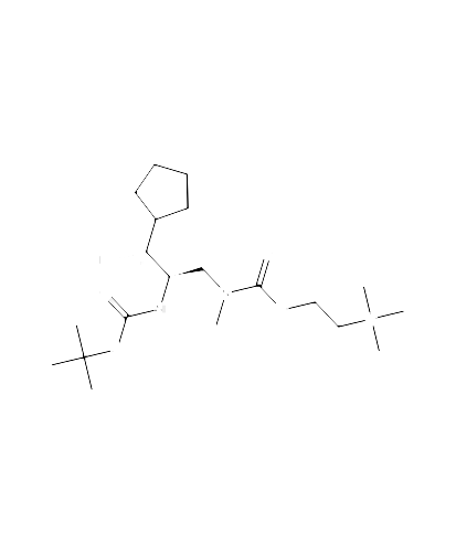 CN(C[C@@H](NC(=O)OC(C)(C)C)[C@H](O)C1CCCC1)C(=O)OCC[Si](C)(C)C